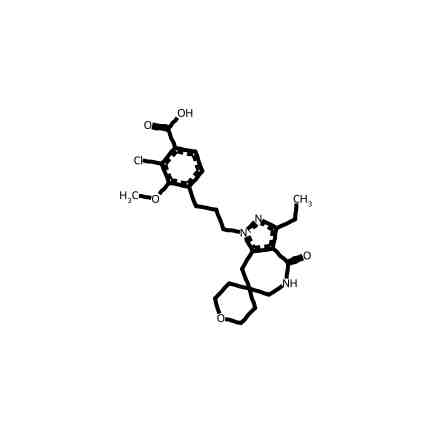 CCc1nn(CCCc2ccc(C(=O)O)c(Cl)c2OC)c2c1C(=O)NCC1(CCOCC1)C2